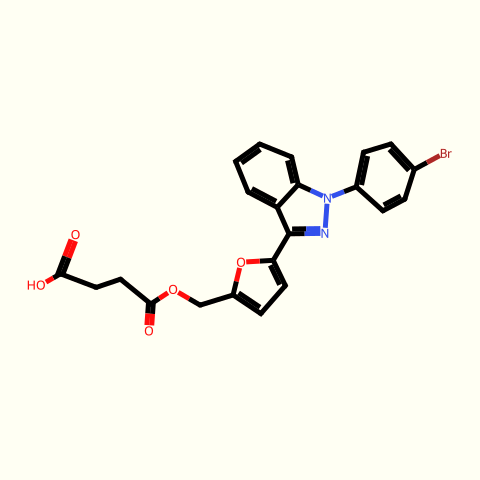 O=C(O)CCC(=O)OCc1ccc(-c2nn(-c3ccc(Br)cc3)c3ccccc23)o1